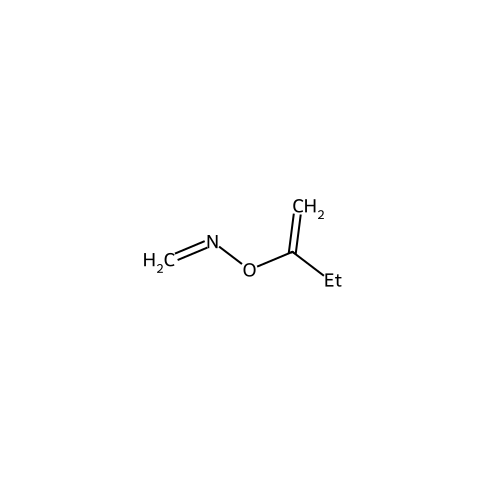 C=NOC(=C)CC